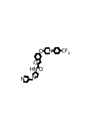 O=C(N[C@@H]1CCN(Cc2ccncc2)C1)c1cc2cc(OC3CCN(c4ccc(C(F)(F)F)cc4)CC3)ccc2o1